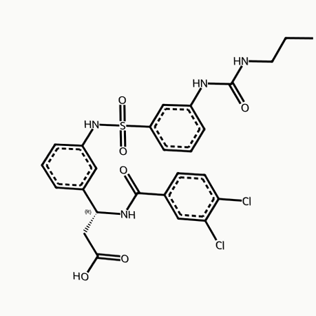 CCCNC(=O)Nc1cccc(S(=O)(=O)Nc2cccc([C@@H](CC(=O)O)NC(=O)c3ccc(Cl)c(Cl)c3)c2)c1